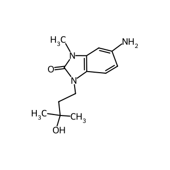 Cn1c(=O)n(CCC(C)(C)O)c2ccc(N)cc21